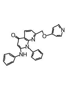 O=c1cc(Nc2ccccc2)n(-c2ccccc2)c2nc(COc3ccncc3)ccc12